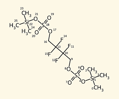 C[Si](C)(C)OS(=O)(=O)OCC(F)(F)C(F)(F)COS(=O)(=O)O[Si](C)(C)C